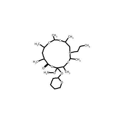 CCCN1CC(C)CC(C)CC(C)CC(C)C(=O)OC(ON)(OC2CCCCO2)C(C)CC1C